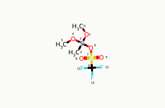 CO[Si](C)(OC)OS(=O)(=O)C(F)(F)F